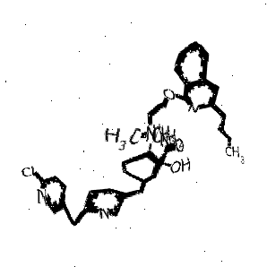 CCCCc1cc2ccccc2c(OCC[N+](C)(C)[C@H]2CCC(Cc3ccc(Cc4ccc(Cl)nc4)nc3)C[C@@]2(O)C(N)=O)n1